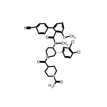 COc1cccc(-c2ccc(C#N)cc2)c1C(=O)N(C)[C@@H]1CCN(C(=O)C2CCN(C(C)=O)CC2)C[C@H]1c1ccc(Cl)c(Cl)c1